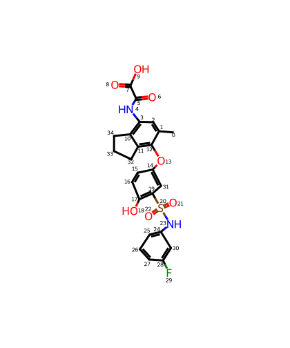 Cc1cc(NC(=O)C(=O)O)c2c(c1Oc1ccc(O)c(S(=O)(=O)Nc3cccc(F)c3)c1)CCC2